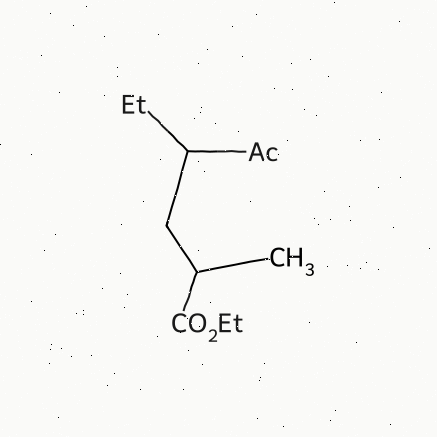 CCOC(=O)C(C)CC(CC)C(C)=O